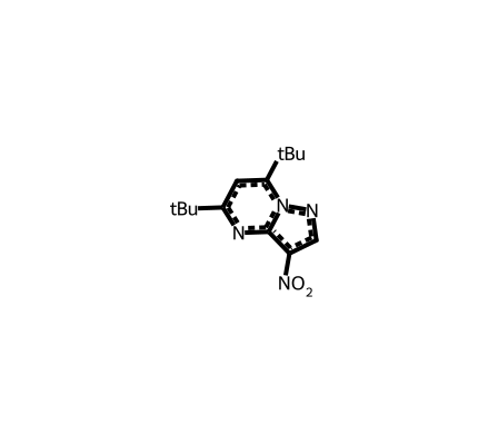 CC(C)(C)c1cc(C(C)(C)C)n2ncc([N+](=O)[O-])c2n1